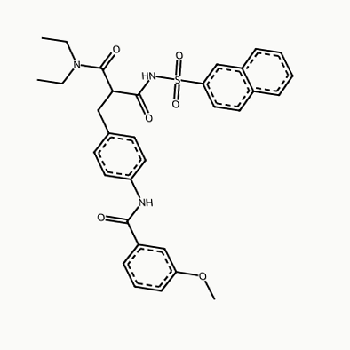 CCN(CC)C(=O)C(Cc1ccc(NC(=O)c2cccc(OC)c2)cc1)C(=O)NS(=O)(=O)c1ccc2ccccc2c1